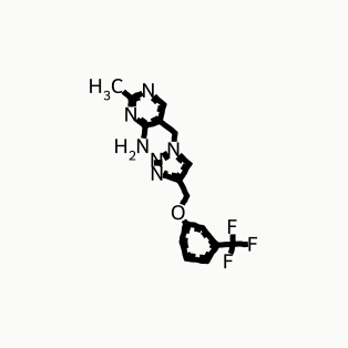 Cc1ncc(Cn2cc(COc3cccc(C(F)(F)F)c3)nn2)c(N)n1